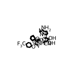 C[C@H](N[P@@](=O)(OC[C@@]1(C#N)O[C@@H](c2ccc3c(N)ncnn23)[C@H](O)[C@@H]1O)Oc1ccccc1)C(=O)O[C@H]1CC[C@H](C(F)(F)F)CC1